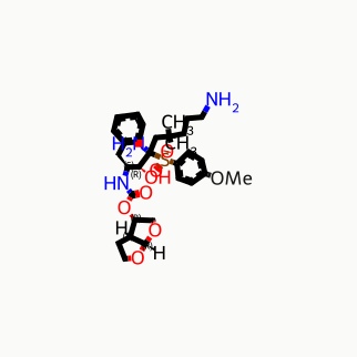 COc1ccc(S(=O)(=O)C(N)(CC(C)(C)CCCN)[C@H](O)[C@H](Cc2ccccc2)NC(=O)O[C@H]2CO[C@H]3OCC[C@H]32)cc1